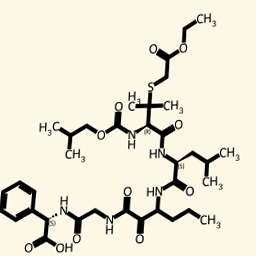 CCCC(NC(=O)[C@H](CC(C)C)NC(=O)[C@@H](NC(=O)OCC(C)C)C(C)(C)SCC(=O)OCC)C(=O)C(=O)NCC(=O)N[C@H](C(=O)O)c1ccccc1